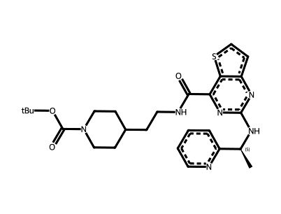 C[C@H](Nc1nc(C(=O)NCCC2CCN(C(=O)OC(C)(C)C)CC2)c2sccc2n1)c1ccccn1